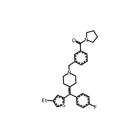 CCc1csc(C(=C2CCN(Cc3cccc(C(=O)N4CCCC4)c3)CC2)c2ccc(F)cc2)c1